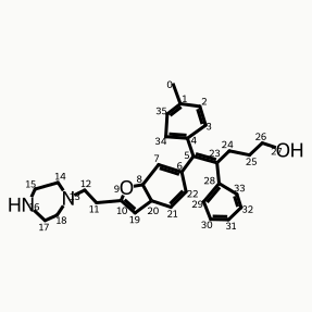 Cc1ccc(/C(C2=CC3OC(CCN4CCNCC4)=CC3C=C2)=C(\CCCO)c2ccccc2)cc1